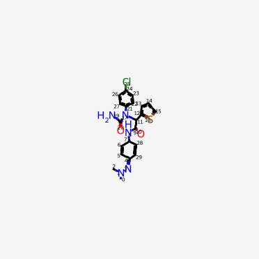 CN(C)N=C1C=CC(NC(=O)C(c2cccs2)N(C(N)=O)c2ccc(Cl)cc2)C=C1